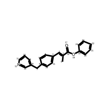 C/C(=C\c1ccc(Cc2cccnc2)cc1)C(=O)Oc1ccccc1